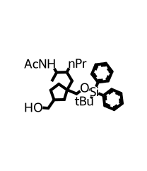 CCCC(CC1(CO[Si](c2ccccc2)(c2ccccc2)C(C)(C)C)CCC(CO)C1)C(C)NC(C)=O